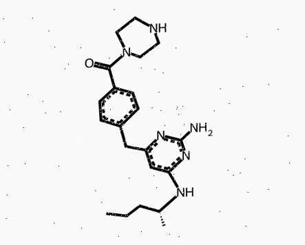 CCC[C@@H](C)Nc1cc(Cc2ccc(C(=O)N3CCNCC3)cc2)nc(N)n1